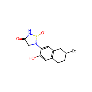 CCC1CCc2cc(O)c(N3CC(=O)N[S+]3[O-])cc2C1